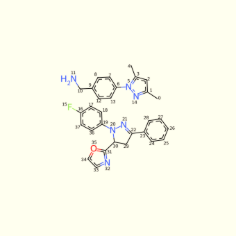 Cc1cc(C)n(-c2ccc(CN)cc2)n1.Fc1ccc(N2N=C(c3ccccc3)CC2c2ncco2)cc1